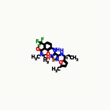 CC[C@@H](Nc1nsnc1Nc1ccc(C(F)(F)F)c(C(=O)N(C)C)c1O)c1ccc(C)o1